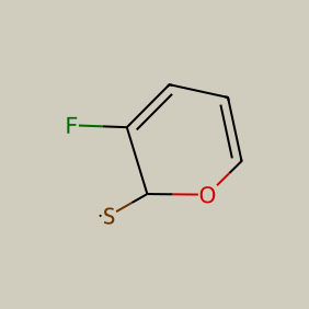 FC1=CC=COC1[S]